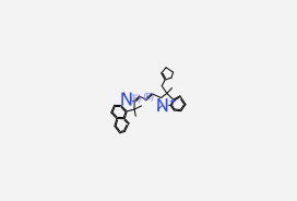 CN1/C(=C/C=C/C2=[N+](C)c3ccccc3C2(C)CC2=CCCC2)C(C)(C)c2c1ccc1ccccc21